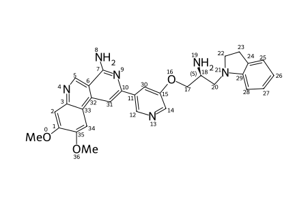 COc1cc2ncc3c(N)nc(-c4cncc(OC[C@@H](N)CN5CCc6ccccc65)c4)cc3c2cc1OC